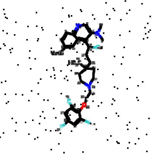 COc1ccc2ncc(N(C)C)c([C@@H](F)CCC3(C(=O)O)CCN(CCOc4c(F)cc(F)cc4F)CC3)c2c1